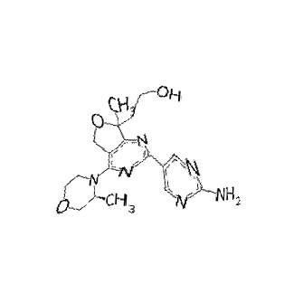 C[C@H]1COCCN1c1nc(-c2cnc(N)nc2)nc2c1COC2(C)CCO